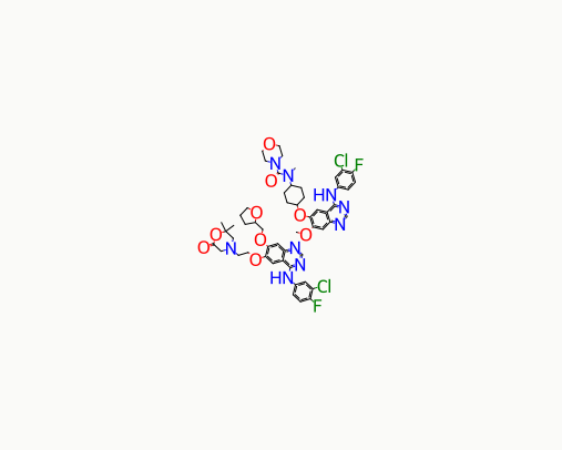 CC1(C)CN(CCOc2cc3c(Nc4ccc(F)c(Cl)c4)ncnc3cc2OCC2CCCO2)CC(=O)O1.COc1cc2ncnc(Nc3ccc(F)c(Cl)c3)c2cc1OC1CCC(N(C)C(=O)N2CCOCC2)CC1